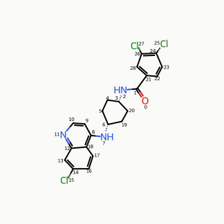 O=C(N[C@H]1CC[C@@H](Nc2ccnc3cc(Cl)ccc23)CC1)c1ccc(Cl)c(Cl)c1